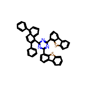 c1ccc(-c2ccc3c(-c4ccccc4)cccc3c2-c2nc(-c3cccc4c3sc3ccccc34)nc(-c3cccc4c3sc3ccccc34)n2)cc1